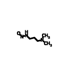 CN(C)CCCNN=O